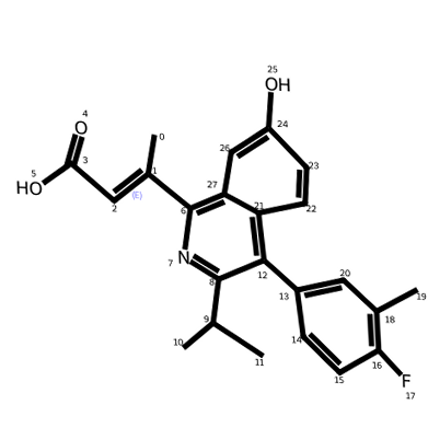 C/C(=C\C(=O)O)c1nc(C(C)C)c(-c2ccc(F)c(C)c2)c2ccc(O)cc12